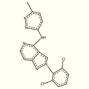 Cc1ccc(Nc2nccc3nn(-c4c(Cl)cccc4Cl)cc23)nn1